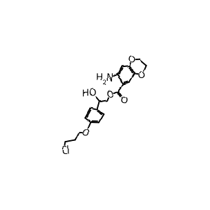 Nc1cc2c(cc1C(=O)OCC(O)c1ccc(OCCCCl)cc1)OCCO2